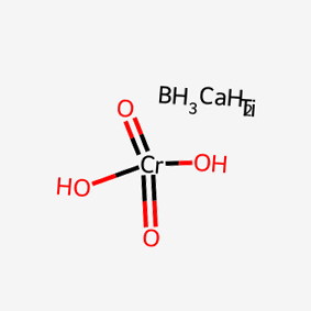 B.[CaH2].[O]=[Cr](=[O])([OH])[OH].[Ti]